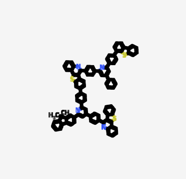 CC1(C)c2ccccc2-c2ccc(-c3cc(-c4ccc(-c5nc6ccccc6c6sc7ccccc7c56)cc4)cc(-c4ccc(-c5ccc6c(c5)sc5c7ccccc7nc(-c7ccc(-c8cc(-c9ccccc9)cc(-c9ccc(-c%10cccc%11c%10sc%10ccccc%10%11)cc9)n8)cc7)c65)cc4)n3)cc21